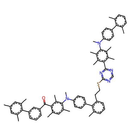 Cc1cc(C)c(-c2cccc(C(=O)c3c(C)cc(C)c(N(C)c4ccc(-c5c(C)cccc5CCSc5ncnc(-c6c(C)c(C)c(N(C)c7ccc(-c8c(C)cccc8C)cc7)c(C)c6C)n5)cc4)c3C)c2)c(C)c1